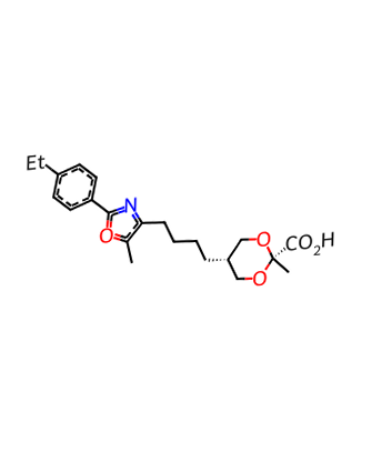 CCc1ccc(-c2nc(CCCC[C@H]3CO[C@@](C)(C(=O)O)OC3)c(C)o2)cc1